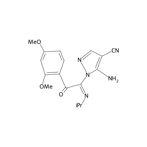 COc1ccc(C(=O)/C(=N\C(C)C)n2ncc(C#N)c2N)c(OC)c1